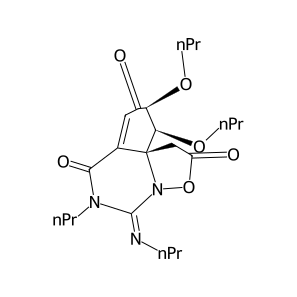 CCC/N=C1/N(CCC)C(=O)C2=CC(=O)[C@@H](OCCC)[C@@H](OCCC)[C@@]23CC(=O)ON13